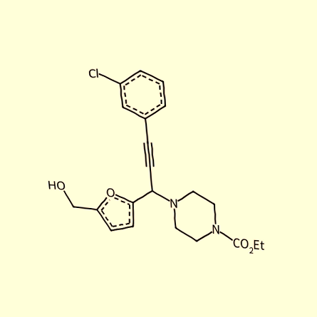 CCOC(=O)N1CCN(C(C#Cc2cccc(Cl)c2)c2ccc(CO)o2)CC1